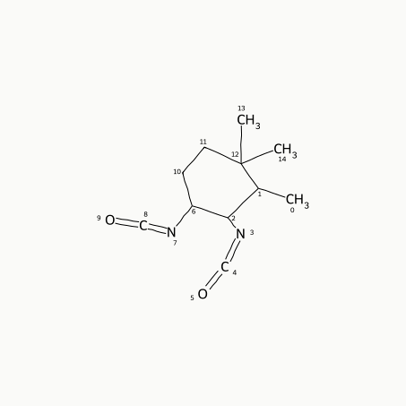 CC1C(N=C=O)C(N=C=O)CCC1(C)C